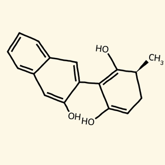 C[C@H]1CC=C(O)C(c2cc3ccccc3cc2O)=C1O